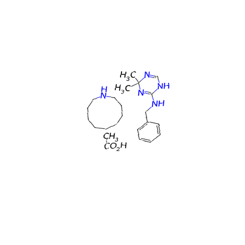 C1CCCCNCCCC1.CC(=O)O.CC1(C)N=CNC(NCc2ccccc2)=N1